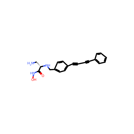 NC[C@H](NCc1ccc(C#CC#Cc2ccccc2)cc1)C(=O)NO